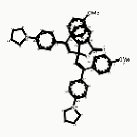 COc1ccc(/C(=C\C2(/C=C(\c3ccc(OC)cc3)c3ccc(N4CCCC4)cc3)OC(=O)c3ccccc32)c2ccc(N3CCCC3)cc2)cc1